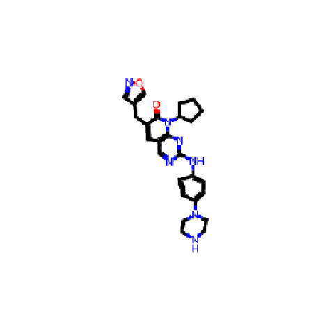 O=c1c(Cc2cnoc2)cc2cnc(Nc3ccc(N4CCNCC4)cc3)nc2n1C1CCCC1